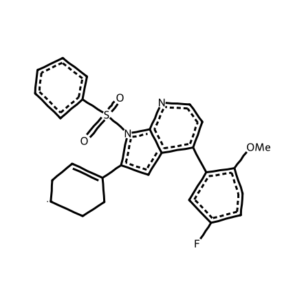 COc1ccc(F)cc1-c1ccnc2c1cc(C1=CC[CH]CC1)n2S(=O)(=O)c1ccccc1